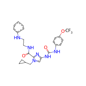 O=C(Nc1ccc(OC(F)(F)F)cc1)Nc1cn(CC2CC2)c(C(=O)NCCNc2ccccc2)n1